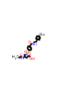 C=CC(=O)NC1CC(CO)N(S(=O)(=O)c2ccc(C(=O)NCCc3ccc(C(C)(C)C)cc3)cc2)C1